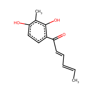 C/C=C/C=C/C(=O)c1ccc(O)c(C)c1O